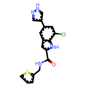 O=C(NCc1cccs1)c1cc2cc(-c3cn[nH]c3)cc(Cl)c2[nH]1